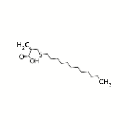 C=C(CSCCCCCCCCCCCC)C(=O)O